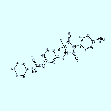 CC(C)(C)c1ccc(N2C(=O)N(Cc3ccnc(NC(=O)NC4CCCCC4)c3)C(C)(C)C2=O)cc1